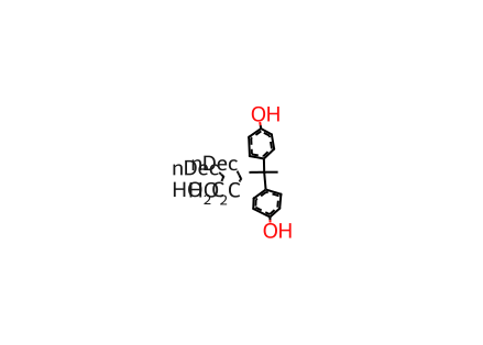 CC(C)(c1ccc(O)cc1)c1ccc(O)cc1.CCCCCCCCCCCC(=O)O.CCCCCCCCCCCC(=O)O